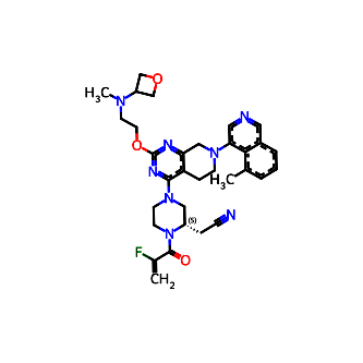 C=C(F)C(=O)N1CCN(c2nc(OCCN(C)C3COC3)nc3c2CCN(c2cncc4cccc(C)c24)C3)C[C@@H]1CC#N